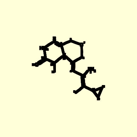 C/C(=C(N)\C=C1/COCC2=NNC(=O)C(C)N21)C1CC1